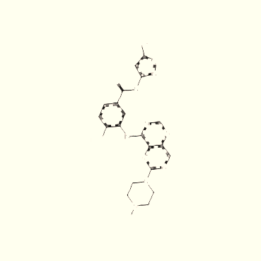 CCN1CCN(c2ncc3ncnc(Nc4cc(C(=O)Nc5cc(C(C)(C)C)on5)ccc4C)c3n2)CC1